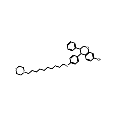 Oc1ccc2c(c1)OCC(c1ccccc1)C2c1ccc(OCCCCCCCCCCN2CCOCC2)cc1